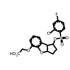 O=C(O)COc1cccc2c1OC1CCC(OS(=O)(=O)c3ccc(F)cc3Cl)C21